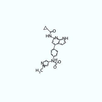 Cn1cc(N(c2ccc(-c3cc(NC(=O)C4CC4)nc4[nH]ccc34)cc2)[SH](=O)=O)cn1